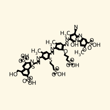 COc1cc2c(cc1S(=O)(=O)O)nc1c(C#N)c(C)c(N=Nc3cc(C)c(N=Nc4cc(C)c(N=Nc5nc6c(S(=O)(=O)O)cc7c(CO)cc(S(=O)(=O)O)cc7c6s5)cc4SCCCS(=O)(=O)O)cc3OCCCS(=O)(=O)O)c(O)n12